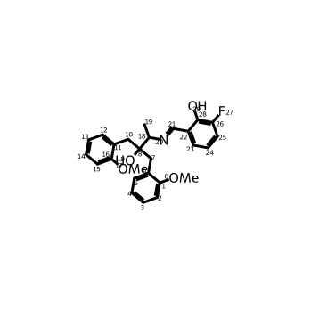 COc1ccccc1CC(O)(Cc1ccccc1OC)C(C)N=Cc1cccc(F)c1O